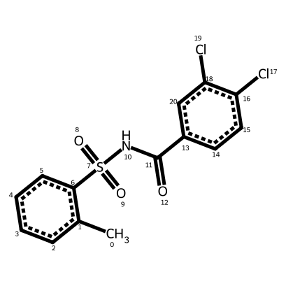 Cc1ccccc1S(=O)(=O)NC(=O)c1ccc(Cl)c(Cl)c1